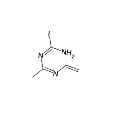 C=C/N=C(C)\N=C(/N)I